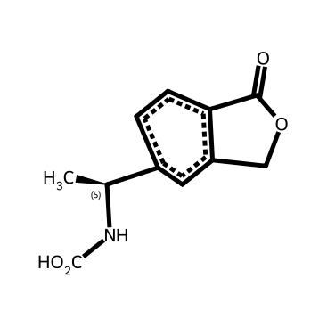 C[C@H](NC(=O)O)c1ccc2c(c1)COC2=O